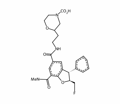 CNC(=O)c1cc(C(=O)NCCC2CN(C(=O)O)CCO2)cc2c1O[C@H](CF)[C@H]2c1ccccc1